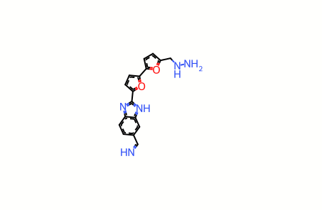 N=Cc1ccc2nc(-c3ccc(-c4ccc(CNN)o4)o3)[nH]c2c1